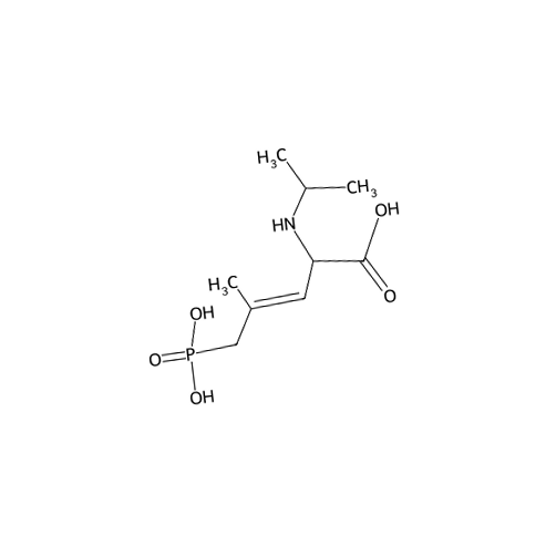 C/C(=C\C(NC(C)C)C(=O)O)CP(=O)(O)O